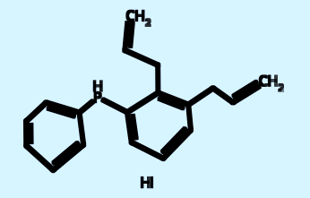 C=CCc1cccc(Pc2ccccc2)c1CC=C.I